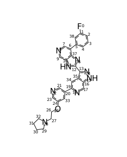 Fc1cccc(-c2cncc3[nH]c(-c4n[nH]c5cnc(-c6cncc(OCCN7CCCC7)c6)cc45)nc23)c1